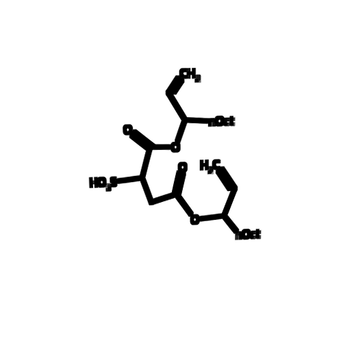 C=CC(CCCCCCCC)OC(=O)CC(C(=O)OC(C=C)CCCCCCCC)S(=O)(=O)O